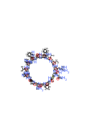 CCCC[C@H]1C(=O)N(C)[C@@H](CCCC)C(=O)N[C@@H](CCCNC(=N)N)C(=O)N[C@H](C(=O)NCC(N)=O)CSCC(=O)N[C@@H](Cc2ccccc2)C(=O)N(C)[C@@H](C)C(=O)N[C@@H](CC(N)=O)C(=O)N2CCC[C@H]2C(=O)N[C@@H](Cc2cnc[nH]2)C(=O)N[C@@H](CCC(C)C)C(=O)N[C@@H](Cc2cnc[nH]2)C(=O)N[C@@H](Cc2c[nH]c3ccccc23)C(=O)N[C@@H](CO)C(=O)N[C@@H](Cc2c[nH]c3ccccc23)C(=O)N1C